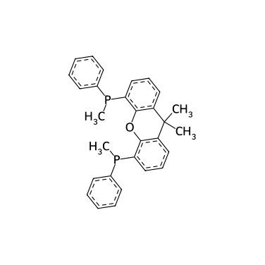 CP(c1ccccc1)c1cccc2c1Oc1c(P(C)c3ccccc3)cccc1C2(C)C